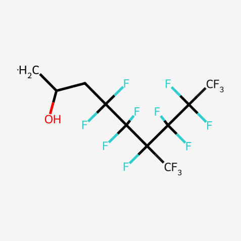 [CH2]C(O)CC(F)(F)C(F)(F)C(F)(C(F)(F)F)C(F)(F)C(F)(F)C(F)(F)F